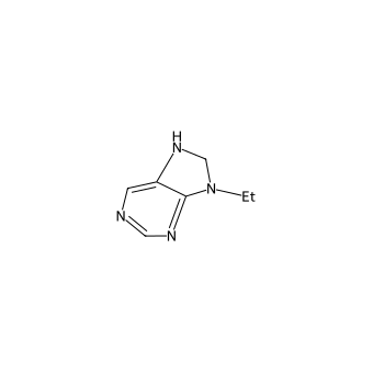 CCN1CNc2cncnc21